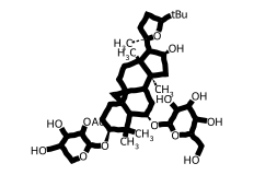 CC(=O)OC1C(O[C@H]2CCC34CC35CC[C@]3(C)C([C@@]6(C)CCC(C(C)(C)C)O6)[C@@H](O)C[C@@]3(C)C5C[C@H](OC3OC(CO)C(O)C(O)C3O)C4C2(C)C)OCC(O)C1O